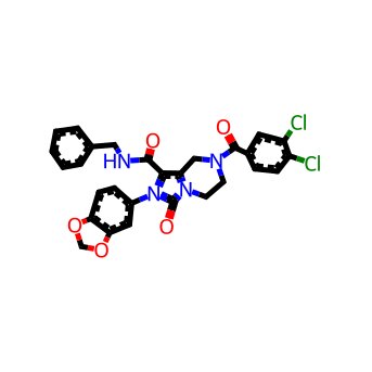 O=C(NCc1ccccc1)c1c2n(c(=O)n1-c1ccc3c(c1)OCO3)CCN(C(=O)c1ccc(Cl)c(Cl)c1)C2